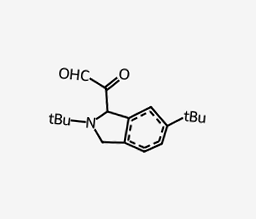 CC(C)(C)c1ccc2c(c1)C(C(=O)C=O)N(C(C)(C)C)C2